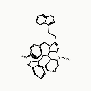 COc1ccc(Cn2c(CCc3c[nH]c4ccccc34)nnc2C(Cc2c[nH]c3ccccc23)N2CCNC[C@@H]2N[C]=O)cc1